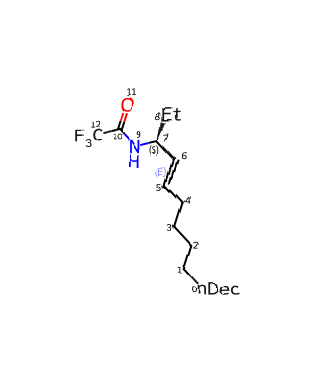 CCCCCCCCCCCCCC/C=C/[C@H](CC)NC(=O)C(F)(F)F